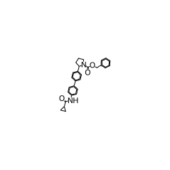 O=C(Nc1ccc(-c2ccc(C3CCCN3C(=O)OCc3ccccc3)cc2)cc1)C1CC1